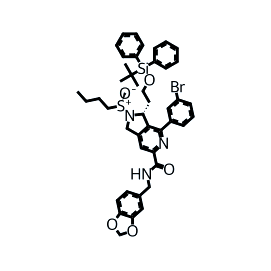 CCCC[S@@+]([O-])N1Cc2cc(C(=O)NCc3ccc4c(c3)OCO4)nc(-c3cccc(Br)c3)c2[C@H]1CCO[Si](c1ccccc1)(c1ccccc1)C(C)(C)C